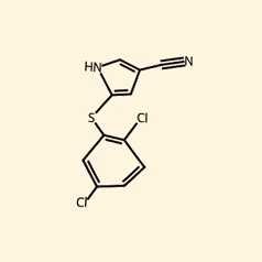 N#Cc1c[nH]c(Sc2cc(Cl)ccc2Cl)c1